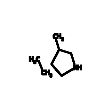 CC.CC1CCNC1